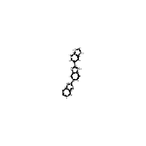 c1ccc2sc(-c3ccc4nc(-c5ccc6scnc6c5)oc4c3)nc2c1